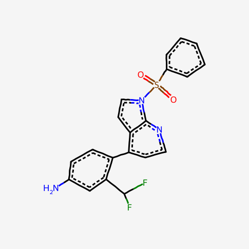 Nc1ccc(-c2ccnc3c2ccn3S(=O)(=O)c2ccccc2)c(C(F)F)c1